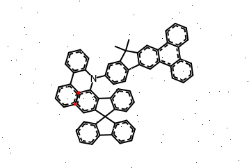 CC1(C)c2cc(N(c3ccccc3-c3ccccc3)c3cccc4c3-c3ccccc3C43c4ccccc4-c4ccccc43)ccc2-c2cc3c4ccccc4c4ccccc4c3cc21